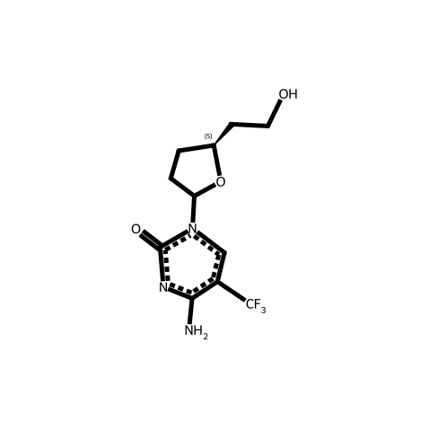 Nc1nc(=O)n(C2CC[C@@H](CCO)O2)cc1C(F)(F)F